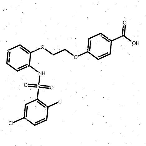 O=C(O)c1ccc(OCCOc2ccccc2NS(=O)(=O)c2cc(Cl)ccc2Cl)cc1